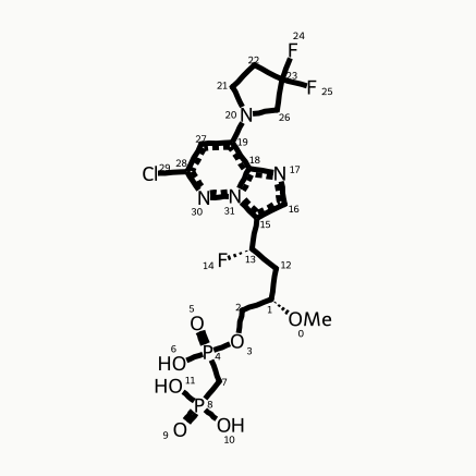 CO[C@H](COP(=O)(O)CP(=O)(O)O)C[C@H](F)c1cnc2c(N3CCC(F)(F)C3)cc(Cl)nn12